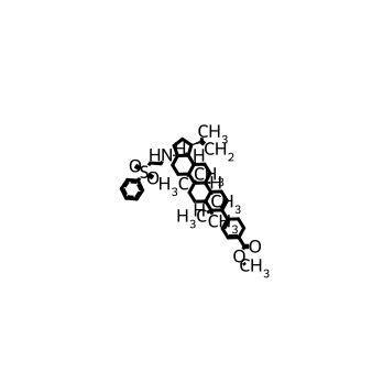 C=C(C)[C@@H]1CC[C@]2(NCCS(=O)(=O)c3ccccc3)CC[C@]3(C)[C@H](CC[C@@H]4[C@@]5(C)CC=C(C6=CC=C(C(=O)OC)CC6)C(C)(C)[C@@H]5CC[C@]43C)[C@@H]12